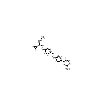 CNC(CC(=O)O)c1ccc(OCc2ccc(OC/C(=N\OC)C3CC3)cc2)cc1